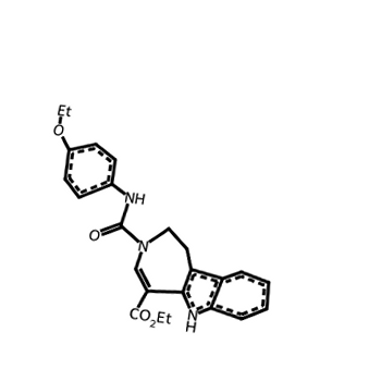 CCOC(=O)C1=CN(C(=O)Nc2ccc(OCC)cc2)CCc2c1[nH]c1ccccc21